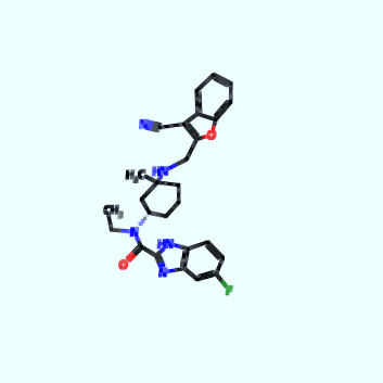 CCN(C(=O)c1nc2cc(F)ccc2[nH]1)[C@H]1CCCC(C)(NCc2oc3ccccc3c2C#N)C1